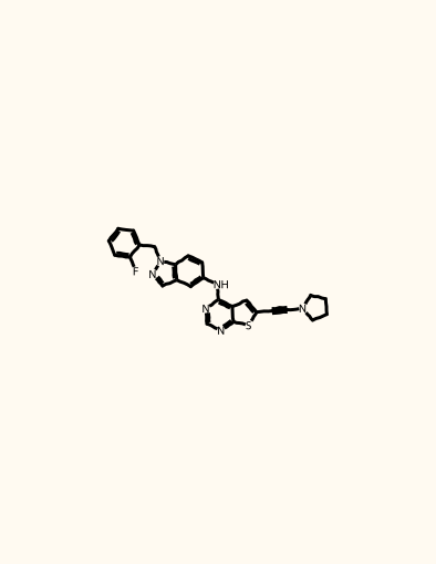 Fc1ccccc1Cn1ncc2cc(Nc3ncnc4sc(C#CN5CCCC5)cc34)ccc21